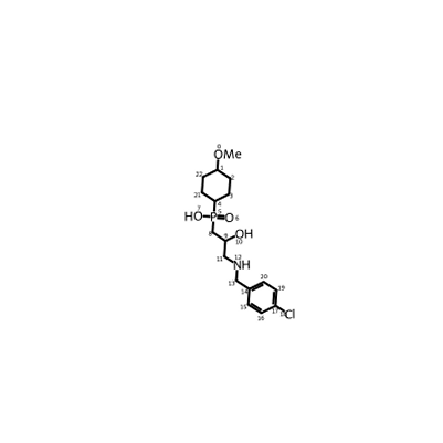 COC1CCC(P(=O)(O)CC(O)CNCc2ccc(Cl)cc2)CC1